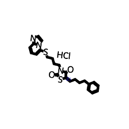 Cl.O=C1S/C(=C/CCCc2ccccc2)C(=O)N1CCCCSc1cccc2nccn12